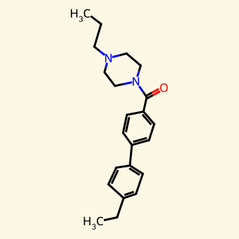 CCCN1CCN(C(=O)c2ccc(-c3ccc(CC)cc3)cc2)CC1